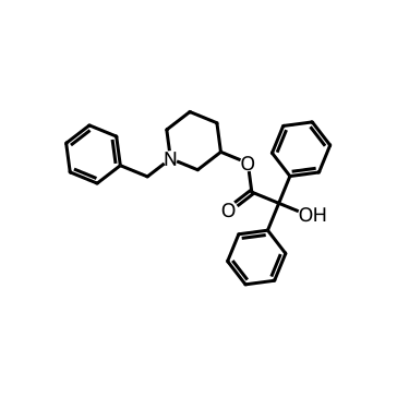 O=C(OC1CCCN(Cc2ccccc2)C1)C(O)(c1ccccc1)c1ccccc1